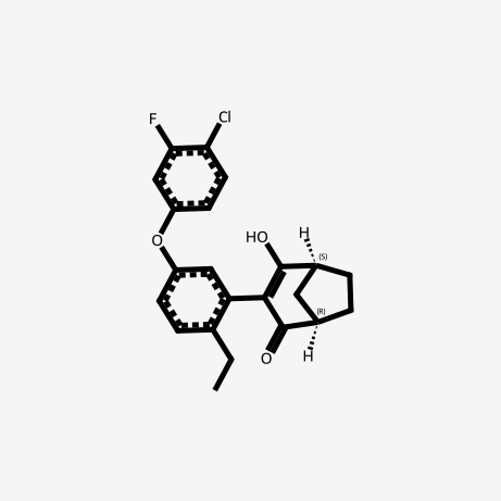 CCc1ccc(Oc2ccc(Cl)c(F)c2)cc1C1=C(O)[C@H]2CC[C@H](C2)C1=O